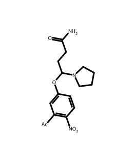 CC(=O)c1cc(OC(CCC(N)=O)N2CCCC2)ccc1[N+](=O)[O-]